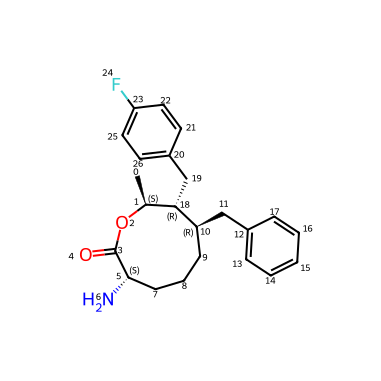 C[C@@H]1OC(=O)[C@@H](N)CCC[C@H](Cc2ccccc2)[C@H]1Cc1ccc(F)cc1